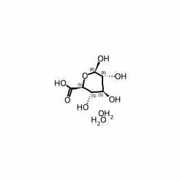 O.O.O=C(O)[C@H]1O[C@@H](O)[C@H](O)[C@@H](O)[C@@H]1O